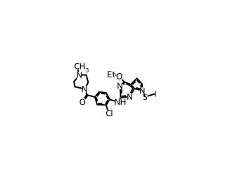 CCOc1nc(Nc2ccc(C(=O)N3CCN(C)CC3)cc2Cl)nc2c1ccn2SI